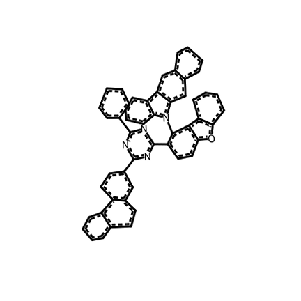 c1ccc(-c2nc(-c3ccc4c(ccc5ccccc54)c3)nc(-c3ccc4oc5ccccc5c4c3-n3c4ccccc4c4cc5ccccc5cc43)n2)cc1